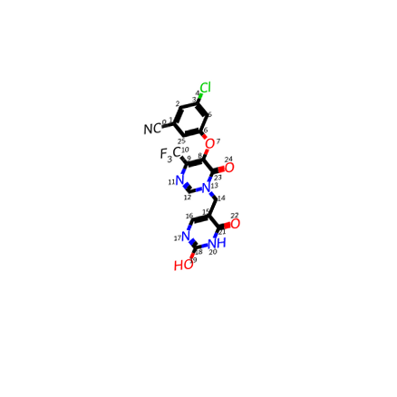 N#Cc1cc(Cl)cc(Oc2c(C(F)(F)F)ncn(Cc3cnc(O)[nH]c3=O)c2=O)c1